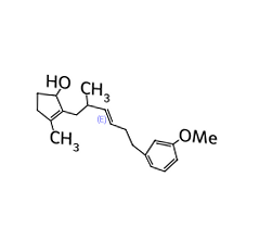 COc1cccc(CC/C=C/C(C)CC2=C(C)CCC2O)c1